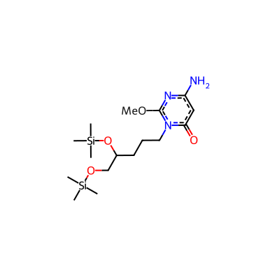 COc1nc(N)cc(=O)n1CCCC(CO[Si](C)(C)C)O[Si](C)(C)C